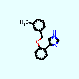 Cc1cccc(COc2ccccc2-c2c[nH]cn2)c1